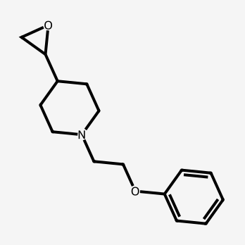 c1ccc(OCCN2CCC(C3CO3)CC2)cc1